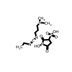 CCN=C=NCCCN(C)C.O=C1CC(S(=O)(=O)O)C(=O)N1O